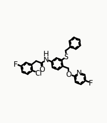 O=C(Cc1cc(F)ccc1Cl)Nc1ccc(COc2ccc(F)cn2)c(SCc2ccccc2)c1